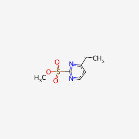 C[CH]c1ccnc(S(=O)(=O)OC)n1